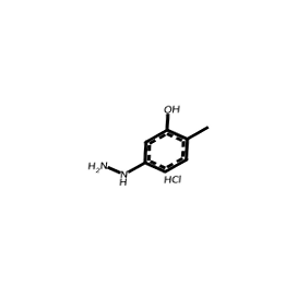 Cc1ccc(NN)cc1O.Cl